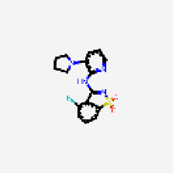 O=S1(=O)N=C(Nc2ncccc2N2CCCC2)c2c(F)cccc21